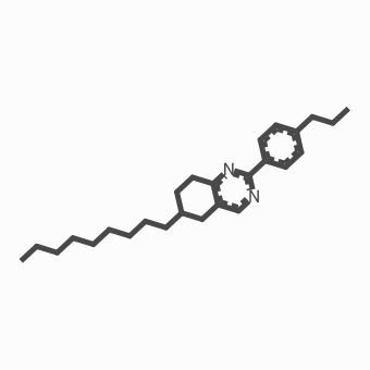 CCCCCCCCCC1CCc2nc(-c3ccc(CCC)cc3)ncc2C1